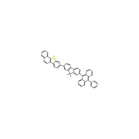 CC1(C)c2cc(-c3ccc4c(c3)sc3c5ccccc5ccc43)ccc2-c2ccc(-c3c4ccccc4c(-c4ccccc4)c4ccccc34)cc21